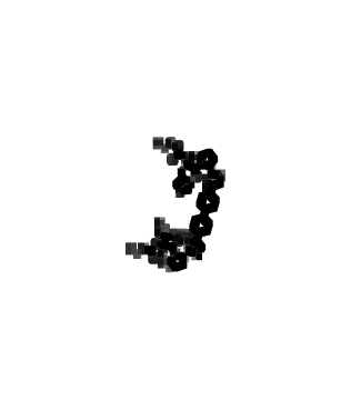 COC(=O)N[C@@H](Cc1cscn1)C(=O)N1CCC[C@H]1c1ncc(-c2ccc(-c3ccc(-c4cnc([C@@H]5CCCN5C(=O)[C@@](C)(OC(N)=O)C(C)C)[nH]4)cc3)cc2)[nH]1